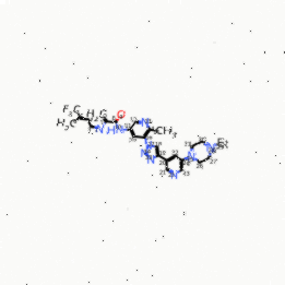 C=C(/N=C\C=C(/C)C(F)(F)F)C(=O)Nc1cnc(C)c(-n2cc(-c3cncc(N4CCN(CC)CC4)c3)nn2)c1